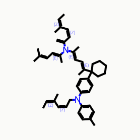 C=C(/C=C\C(C)=C/C)N(/C(C)=C/C=C(C)C)/C(C)=C/C=C(\C)C1(c2ccc(N(C/C=C\C(C)=C/C)c3ccc(C)cc3)cc2)CCCCC1